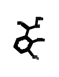 CNc1c(C)cccc1C(=N)NSC